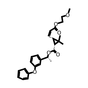 COCCOC(=O)/C=C\[C@H]1[C@@H](C(=O)O[C@H](C)c2cccc(Oc3ccccc3)c2)C1(C)C